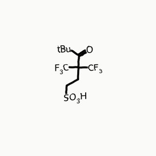 CC(C)(C)C(=O)C(CCS(=O)(=O)O)(C(F)(F)F)C(F)(F)F